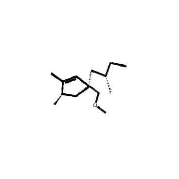 CC[C@H](F)C[C@@]1(COC)C=C(C)[C@H](C)C1